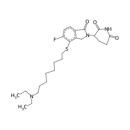 CCN(CC)CCCCCCCCSc1c(F)ccc2c1CN(C1CCC(=O)NC1=O)C2=O